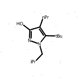 CCCc1c(O)nn(CC(C)C)c1C(C)(C)C